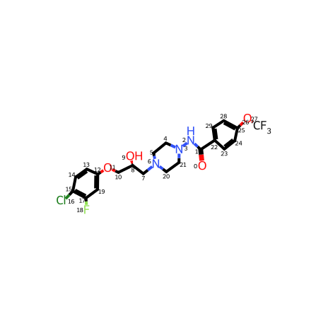 O=C(NN1CCN(C[C@H](O)COc2ccc(Cl)c(F)c2)CC1)c1ccc(OC(F)(F)F)cc1